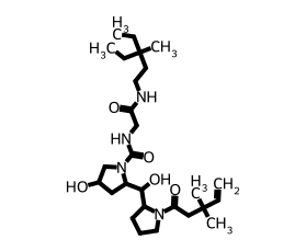 C=CC(C)(C)CC(=O)N1CCCC1C(O)C1CC(O)CN1C(=O)NCC(=O)NCCC(C)(CC)CC